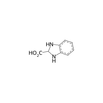 O=C(O)C1Nc2ccccc2N1